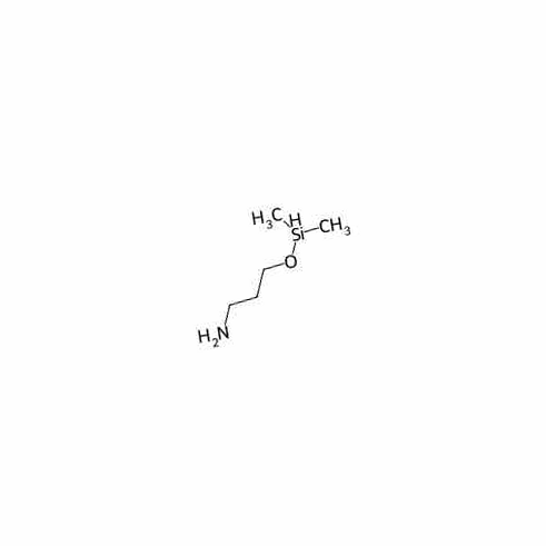 C[SiH](C)OCCCN